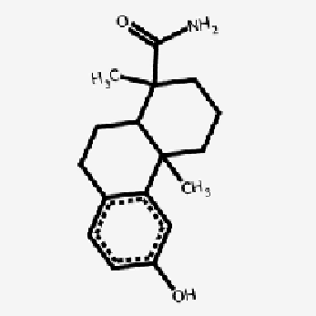 CC1(C(N)=O)CCCC2(C)c3cc(O)ccc3CCC12